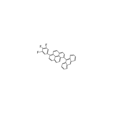 Fc1cc(-c2ccc3ccc4c(-c5c6ccccc6cc6ccccc56)ccc5ccc2c3c54)cc(F)c1F